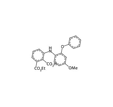 CCOC(=O)c1cccc(Nc2ccc(OC)cc2Oc2ccccc2)c1C(=O)O